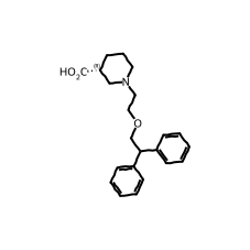 O=C(O)[C@@H]1CCCN(CCOCC(c2ccccc2)c2ccccc2)C1